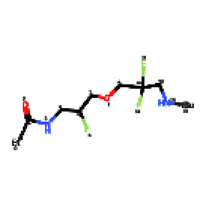 CCC(=O)NCC(F)COCC(F)(F)CNC(C)(C)C